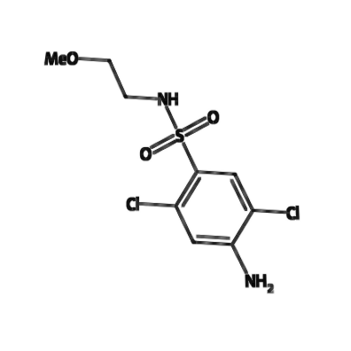 COCCNS(=O)(=O)c1cc(Cl)c(N)cc1Cl